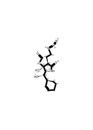 C[C@@]1(OC=O)[C@@H]([C@@H](O)[C@@H]2C=CCCC2)NC(=O)[C@@H]1CCN=[N+]=[N-]